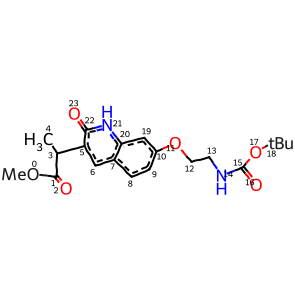 COC(=O)C(C)c1cc2ccc(OCCNC(=O)OC(C)(C)C)cc2[nH]c1=O